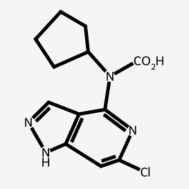 O=C(O)N(c1nc(Cl)cc2[nH]ncc12)C1CCCC1